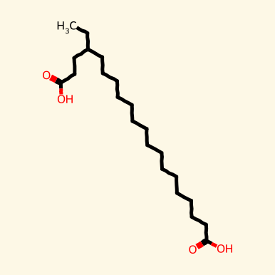 CCC(CCCCCCCCCCCCCCCC(=O)O)CCC(=O)O